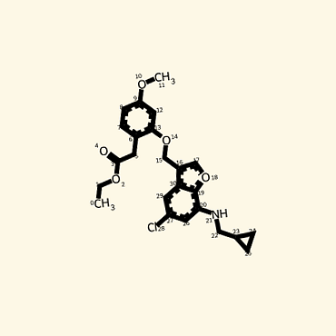 CCOC(=O)Cc1ccc(OC)cc1OCc1coc2c(NCC3CC3)cc(Cl)cc12